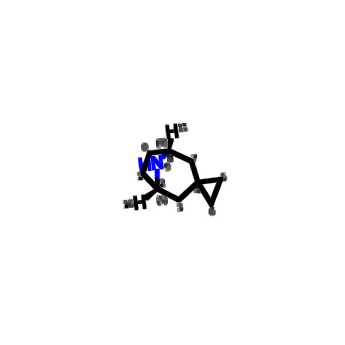 C1C[C@H]2CC3(CC3)C[C@@H]1N2